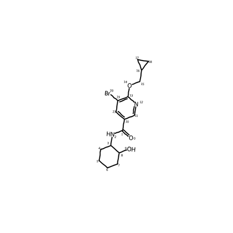 O=C(NC1CCCCC1O)c1cnc(OCC2CC2)c(Br)c1